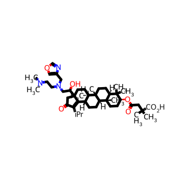 CC(C)C1=C2[C@H]3CC[C@@H]4[C@@]5(C)CC[C@H](OC(=O)CC(C)(C)C(=O)O)C(C)(C)[C@@H]5CC[C@@]4(C)[C@]3(C)CCC2(C(O)CN(CCN(C)C)Cc2cocn2)CC1=O